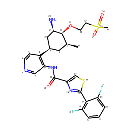 C[C@H]1C[C@@H](c2ccncc2NC(=O)c2csc(-c3c(F)cccc3F)n2)C[C@@H](N)[C@H]1OCCS(C)(=O)=O